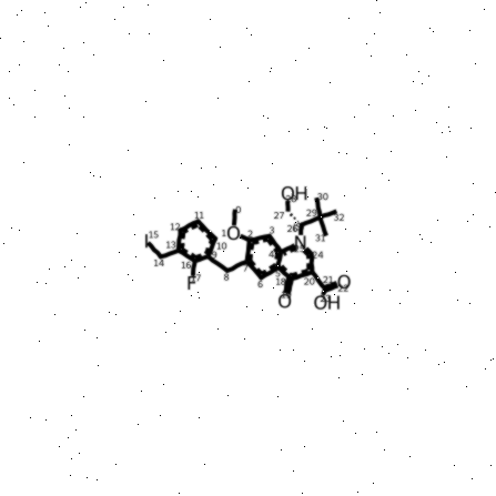 COc1cc2c(cc1Cc1cccc(CI)c1F)c(=O)c(C(=O)O)cn2[C@H](CO)C(C)(C)C